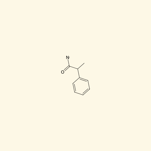 CC(C([N])=O)c1ccccc1